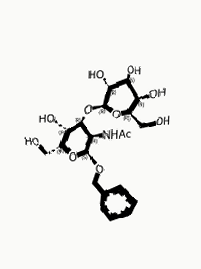 CC(=O)N[C@H]1[C@@H](OCc2ccccc2)O[C@H](CO)[C@H](O)[C@@H]1O[C@@H]1O[C@H](CO)[C@H](O)[C@H](O)[C@H]1O